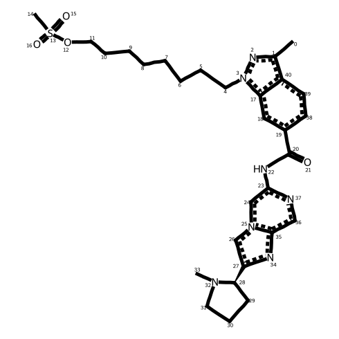 Cc1nn(CCCCCCCCOS(C)(=O)=O)c2cc(C(=O)Nc3cn4cc([C@H]5CCCN5C)nc4cn3)ccc12